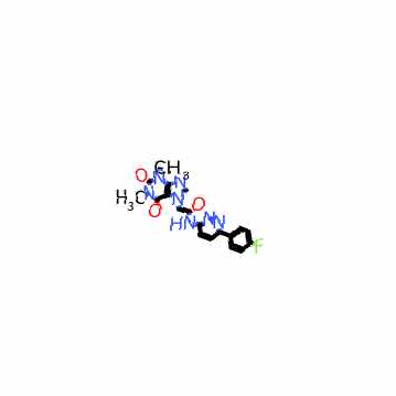 Cn1c(=O)c2c(ncn2CC(=O)Nc2ccc(-c3ccc(F)cc3)nn2)n(C)c1=O